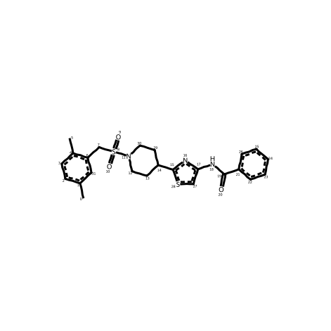 Cc1ccc(C)c(CS(=O)(=O)N2CCC(c3nc(NC(=O)c4ccccc4)cs3)CC2)c1